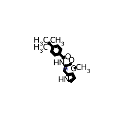 COC(=O)/C(=C\c1ccc[nH]1)NC(=O)c1ccc(C(C)(C)C)cc1